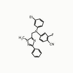 CCc1cccc(N(Cc2nc(-c3ccccc3)nn2C)c2ccc(C#N)c(F)c2)c1